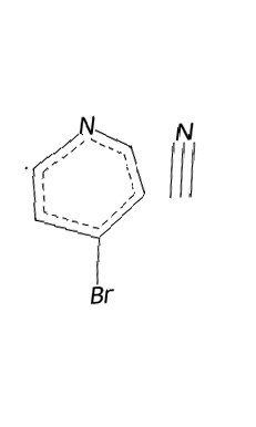 Brc1c[c]ncc1.C#N